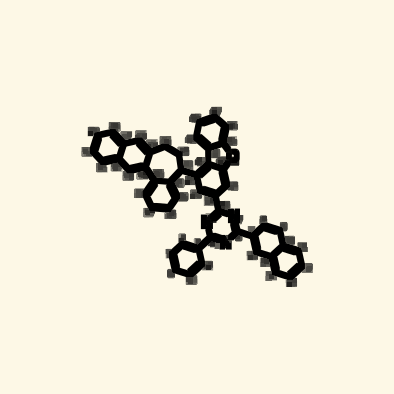 c1ccc(-c2nc(-c3ccc4ccccc4c3)nc(-c3cc(C4CCc5cc6ccccc6cc5-c5ccccc54)c4c(c3)oc3ccccc34)n2)cc1